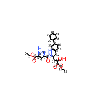 CCOC(=O)c1cc(C(=O)NC(Cc2ccc(-c3ccccc3)cc2)C[C@@H](O)C(=O)OCC)n[nH]1